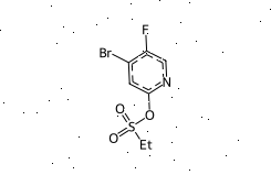 CCS(=O)(=O)Oc1cc(Br)c(F)cn1